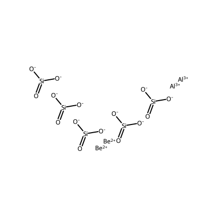 O=[Si]([O-])[O-].O=[Si]([O-])[O-].O=[Si]([O-])[O-].O=[Si]([O-])[O-].O=[Si]([O-])[O-].[Al+3].[Al+3].[Be+2].[Be+2]